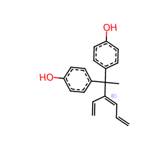 C=C/C=C(\C=C)C(C)(c1ccc(O)cc1)c1ccc(O)cc1